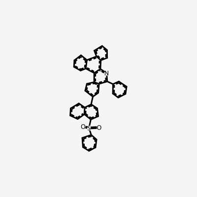 O=S(=O)(c1ccccc1)c1ccc(-c2ccc3c(c2)c(-c2ccccc2)nc2c4ccccc4c4ccccc4c32)c2ccccc12